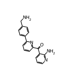 NCc1ccc(-c2cccc(C(=O)c3cccnc3N)n2)cc1